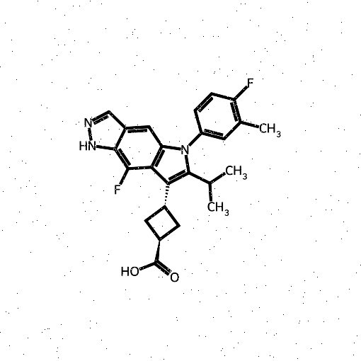 Cc1cc(-n2c(C(C)C)c([C@H]3C[C@H](C(=O)O)C3)c3c(F)c4[nH]ncc4cc32)ccc1F